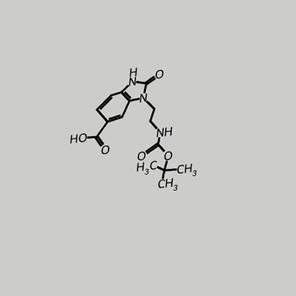 CC(C)(C)OC(=O)NCCn1c(=O)[nH]c2ccc(C(=O)O)cc21